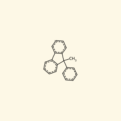 CC1(c2ccccc2)c2cc[c]cc2-c2ccccc21